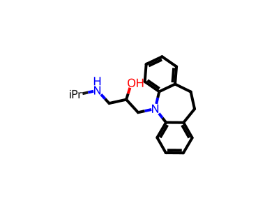 CC(C)NCC(O)CN1c2ccccc2CCc2ccccc21